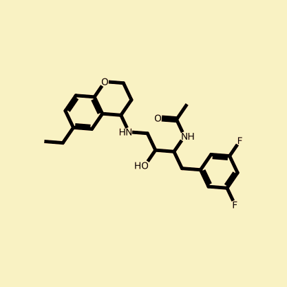 CCc1ccc2c(c1)C(NCC(O)C(Cc1cc(F)cc(F)c1)NC(C)=O)CCO2